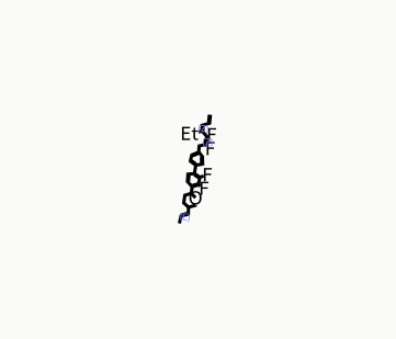 C=C/C=C(CC)\C(F)=C(\F)Cc1ccc(-c2ccc(C3CCC(/C=C/C)CO3)c(F)c2F)cc1